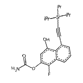 CC(C)[Si](C#Cc1cccc2c(F)c(OC(N)=O)cc(O)c12)(C(C)C)C(C)C